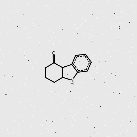 O=C1CCCC2Nc3ccccc3C12